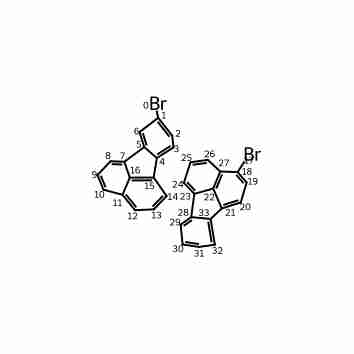 Brc1ccc2c(c1)-c1cccc3cccc-2c13.Brc1ccc2c3c(cccc13)-c1ccccc1-2